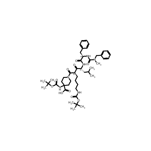 CC(C)C[C@@H](NC(=O)[C@@H](Cc1ccccc1)NC(=O)N(C)Cc1ccccc1)C(=O)[C@@H](CCCCNC(=O)OC(C)(C)C)C(=O)N1CCC(NC(=O)OC(C)(C)C)(C(=O)O)CC1